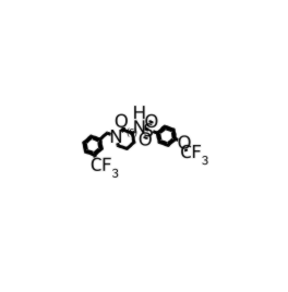 O=C1[C@@H](NS(=O)(=O)c2ccc(OC(F)(F)F)cc2)CCCN1Cc1cccc(C(F)(F)F)c1